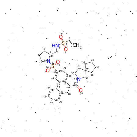 C=CS(=O)(=O)NC[C@H]1CCCN1S(=O)(=O)c1ccc(C(Cc2ccccc2)C(=O)N2CCC3(CCCC3)C2)cc1